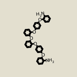 Nc1ccccc1Oc1ccc(Oc2ccccc2Oc2ccccc2Oc2ccc(Oc3ccccc3N)cc2)cc1